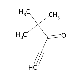 C#CC(=O)C(C)(C)C